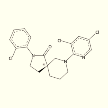 O=C1N(c2ccccc2Cl)CC[C@@]12CCCN(c1ncc(Cl)cc1Cl)C2